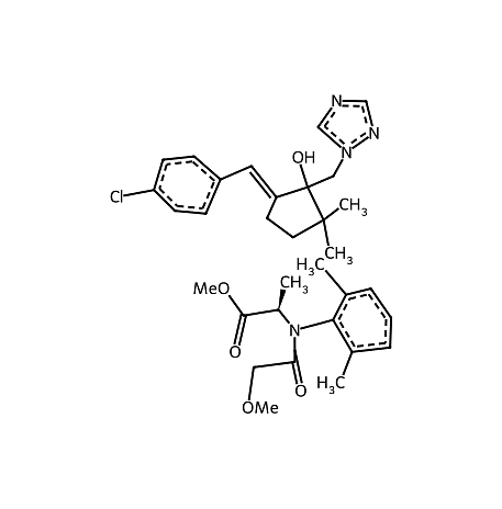 CC1(C)CC/C(=C\c2ccc(Cl)cc2)C1(O)Cn1cncn1.COCC(=O)N(c1c(C)cccc1C)[C@H](C)C(=O)OC